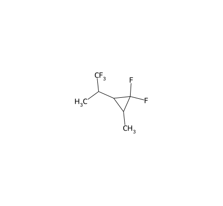 CC(C1C(C)C1(F)F)C(F)(F)F